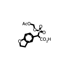 CC(=O)OCOS(=O)(=O)C(C(=O)O)c1ccc2c(c1)CCO2